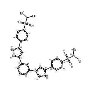 CCC(CC)S(=O)(=O)c1ccc(-c2cc(-c3cccc(-c4cc(-c5ccc(S(=O)(=O)N(CC)CC)cc5)[nH]n4)c3)n[nH]2)cc1